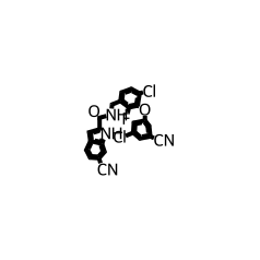 N#Cc1cc(Cl)cc(Oc2c(Cl)ccc(CNC(=O)c3cc4ccc(C#N)cc4[nH]3)c2F)c1